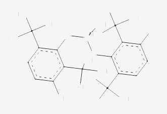 Cc1ccc(C(C)(C)C)c(OP(O)Oc2c(C(C)(C)C)ccc(C)c2C(C)(C)C)c1C(C)(C)C